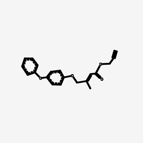 C#CCOC(=O)C=C(C)COc1ccc(Oc2ccccc2)cc1